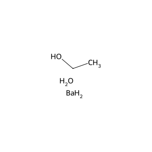 CCO.O.[BaH2]